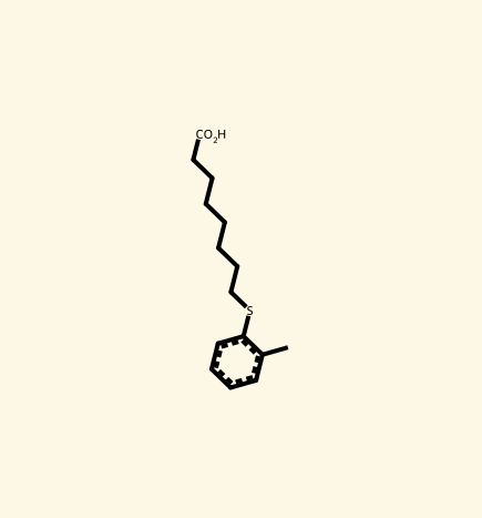 Cc1ccccc1SCCCCCCCC(=O)O